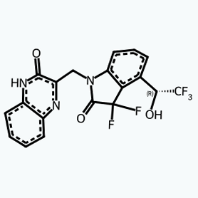 O=C1N(Cc2nc3ccccc3[nH]c2=O)c2cccc([C@@H](O)C(F)(F)F)c2C1(F)F